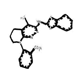 Cc1c(Nc2nc3ccccc3s2)nnc2c1CCCN2c1ccccc1C(=O)O